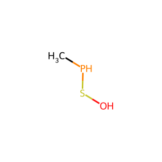 CPSO